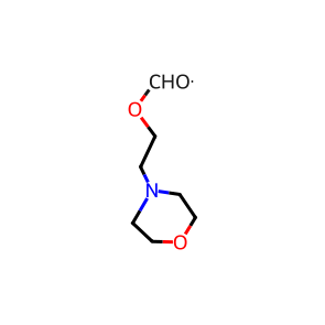 O=[C]OCCN1CCOCC1